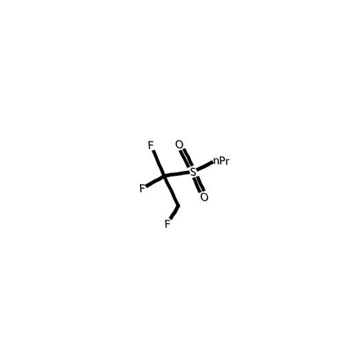 CCCS(=O)(=O)C(F)(F)CF